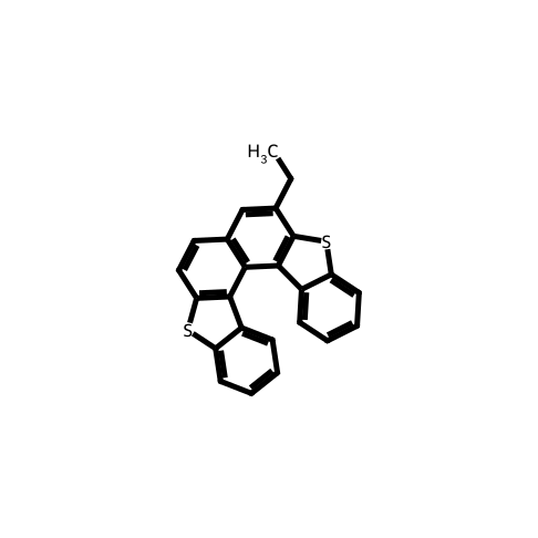 CCc1cc2ccc3sc4ccccc4c3c2c2c1sc1ccccc12